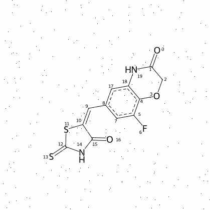 O=C1COc2c(F)cc(/C=C3/SC(=S)NC3=O)cc2N1